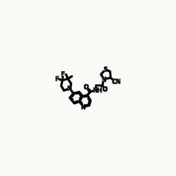 CC1(C)CN(c2ccc3nccc(C(=O)NCC(=O)N4CSC[C@H]4C#N)c3c2)CCC1(F)F